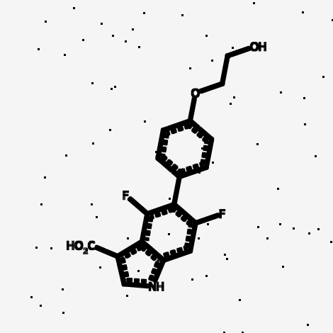 O=C(O)c1c[nH]c2cc(F)c(-c3ccc(OCCO)cc3)c(F)c12